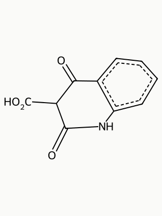 O=C(O)C1C(=O)Nc2ccccc2C1=O